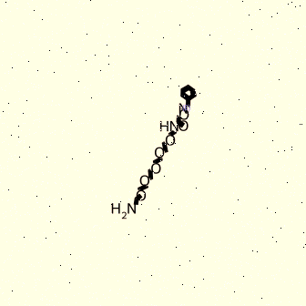 NCCOCCOCCOCCOCCOCCNC(=O)CO/N=C/c1ccccc1